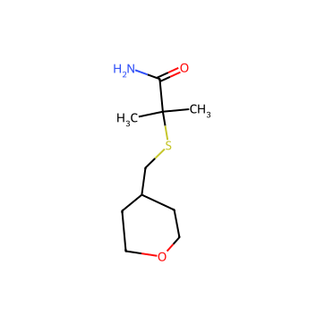 CC(C)(SCC1CCOCC1)C(N)=O